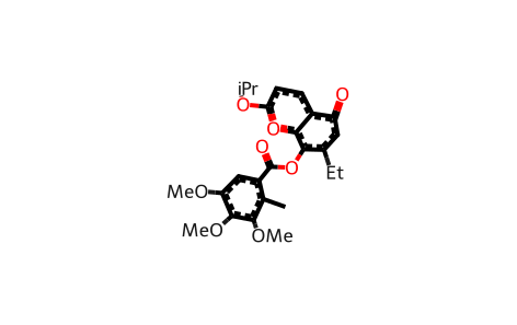 CCc1cc(=O)c2ccc(OC(C)C)oc-2c1OC(=O)c1cc(OC)c(OC)c(OC)c1C